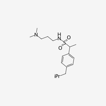 CC(C)Cc1ccc(C(C)S(=O)(=O)NCCCN(C)C)cc1